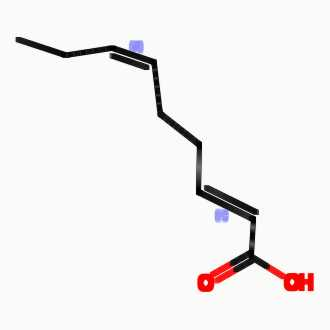 CC/C=C\CC/C=C/C(=O)O